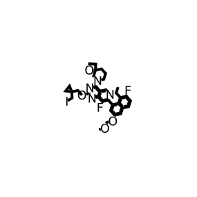 CCc1c(F)ccc2cc(OCOC)cc(-c3ncc4c(N5CCCC6(CCO6)C5)nc(OCC5(CI)CC5)nc4c3F)c12